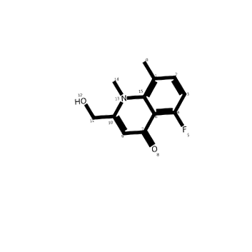 Cc1ccc(F)c2c(=O)cc(CO)n(C)c12